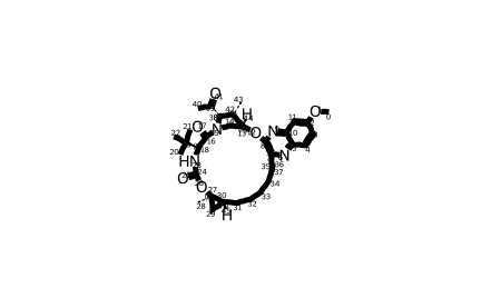 COc1ccc2nc3c(nc2c1)O[C@H]1CN(C(=O)[C@H](C(C)(C)C)NC(=O)O[C@]2(C)C[C@H]2CCCCC32CC2)[C@H](C(C)=O)[C@@H]1C